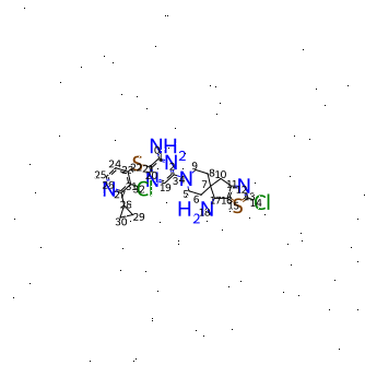 Nc1nc(N2CCC3(CC2)Cc2nc(Cl)sc2[C@H]3N)cnc1Sc1ccnc(C2CC2)c1Cl